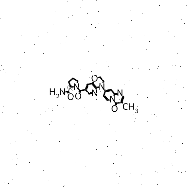 Cc1cnc2cc(N3CCOc4cc(C(=O)N5CCC[C@H]5C(N)=O)cnc43)ccn2c1=O